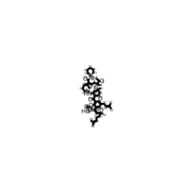 CC(=O)C(C)(C/C=C(/C)C(=O)NN1CCCCC1)OC(C)(C)CC1Oc2c(CC=C(C)C)c3c(c(OP(=O)(O)O)c2C(=O)C1C(C)NN1CCCCC1)C=CC(C)(CCC=C(C)C)O3